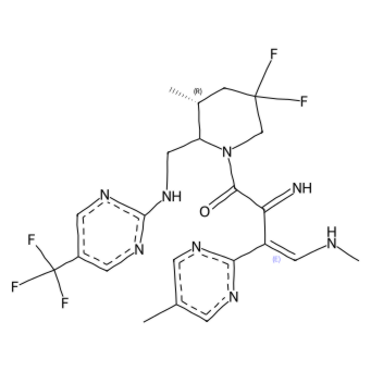 CN/C=C(\C(=N)C(=O)N1CC(F)(F)C[C@@H](C)C1CNc1ncc(C(F)(F)F)cn1)c1ncc(C)cn1